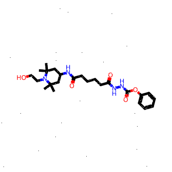 CC1(C)CC(NC(=O)CCCCC(=O)NNC(=O)Oc2ccccc2)CC(C)(C)N1CCO